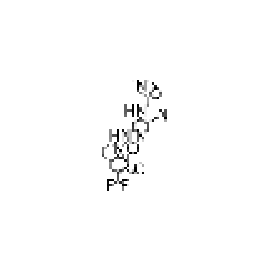 CN1CCOC(CNc2cc(NC(=O)N3CCCc4cc(C(F)F)c(C=O)nc43)ncc2C#N)C1